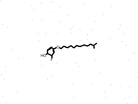 CC(C)CCCCCCCCCCOC1=CC(F)C(O)C=C1